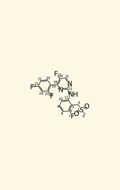 CS(=O)(=O)Cc1c(F)cccc1Nc1ncc(F)c(-c2ccc(F)cc2F)n1